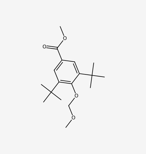 COCOc1c(C(C)(C)C)cc(C(=O)OC)cc1C(C)(C)C